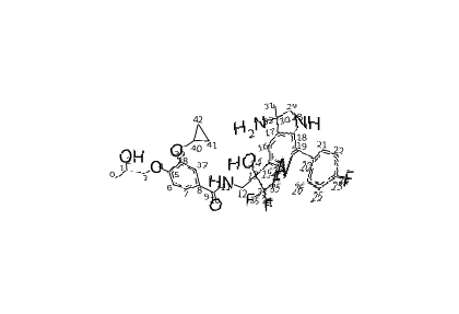 CC(O)COc1ccc(C(=O)NCC(O)(c2cc3c(c(-c4ccc(F)cc4)n2)NCC3(C)N)C(F)(F)F)cc1OC1CC1